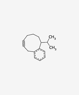 CC(C)C1CCCC#CCc2ccccc21